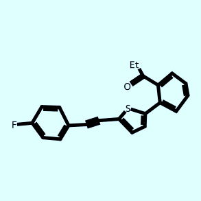 CCC(=O)c1ccccc1-c1ccc(C#Cc2ccc(F)cc2)s1